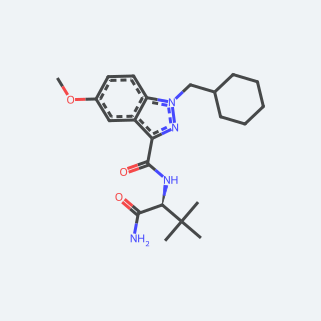 COc1ccc2c(c1)c(C(=O)N[C@H](C(N)=O)C(C)(C)C)nn2CC1CCCCC1